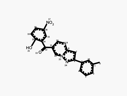 Cc1cccc(-c2cc3ncc(C(=O)c4cc([N+](=O)[O-])ccc4O)cn3n2)c1